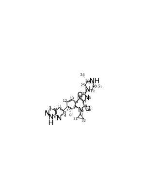 Cc1c(-c2cnc3[nH]ncc3c2)ccc2c3oc(N4C[C@@H](C)N[C@@H](C)C4)nc3c(=O)n(C3CC3)c12